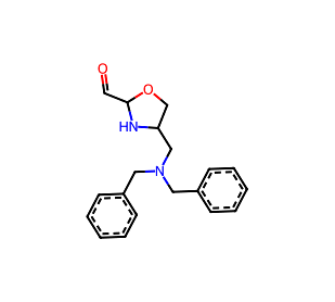 O=CC1NC(CN(Cc2ccccc2)Cc2ccccc2)CO1